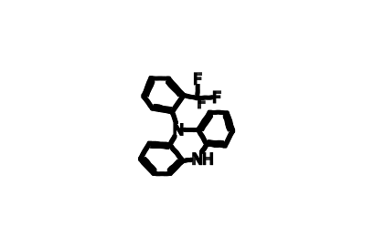 FC(F)(F)c1ccccc1N1c2ccccc2Nc2ccccc21